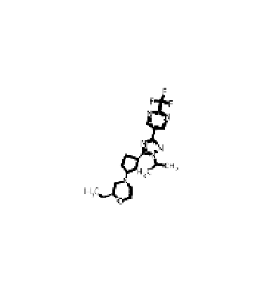 CC[C@H]1CN([C@H]2CC[C@@H](c3nc(-c4cnc(C(F)(F)F)nc4)nn3C(C)C)C2)CCO1